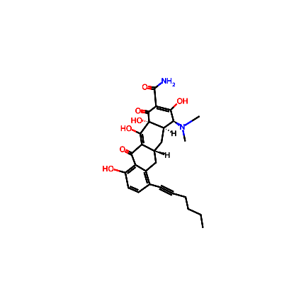 CCCCC#Cc1ccc(O)c2c1C[C@H]1C[C@@H]3[C@H](N(C)C)C(O)=C(C(N)=O)C(=O)[C@]3(O)C(O)=C1C2=O